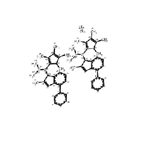 CC1=Cc2c(-c3ccccc3)cccc2[CH]1[Zr+]([C]1=C(C)C(C)=C(C)C1C)[SiH](C)C.CC1=Cc2c(-c3ccccc3)cccc2[CH]1[Zr+]([C]1=C(C)C(C)=C(C)C1C)[SiH](C)C.[Cl-].[Cl-]